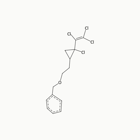 ClC(Cl)=C(Cl)C1(Cl)CC1CCOCc1ccccc1